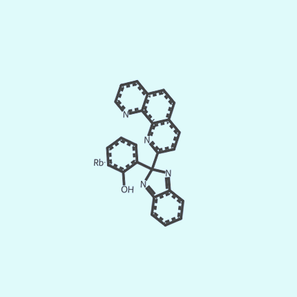 Oc1ccccc1C1(c2ccc3ccc4cccnc4c3n2)N=c2ccccc2=N1.[Rb]